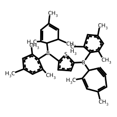 CC1=CC#CC(B(c2ccc(B(c3c(C)cc(C)cc3C)C3C(C)=CC(C)=CC3C)s2)c2c(C)cc(C)cc2C)C(C)=C1